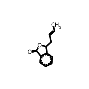 CC=CCC1OC(=O)c2ccccc21